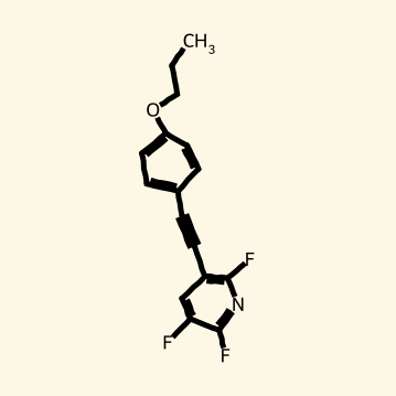 CCCOc1ccc(C#Cc2cc(F)c(F)nc2F)cc1